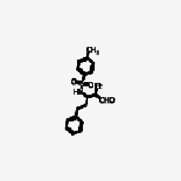 CC[C@@H](C=O)[C@@H](CCc1ccccc1)NS(=O)(=O)c1ccc(C)cc1